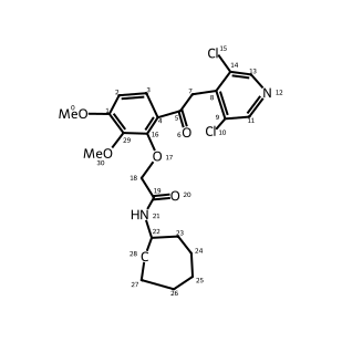 COc1ccc(C(=O)Cc2c(Cl)cncc2Cl)c(OCC(=O)NC2CCCCCC2)c1OC